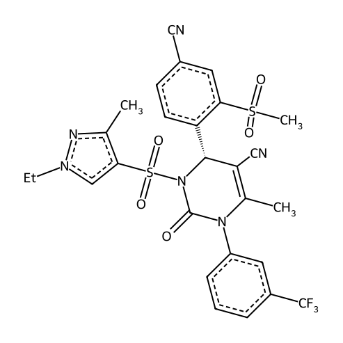 CCn1cc(S(=O)(=O)N2C(=O)N(c3cccc(C(F)(F)F)c3)C(C)=C(C#N)[C@H]2c2ccc(C#N)cc2S(C)(=O)=O)c(C)n1